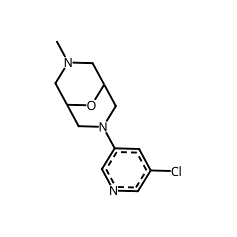 CN1CC2CN(c3cncc(Cl)c3)CC(C1)O2